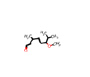 COC(CCC(C)CC=O)C(C)C